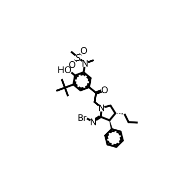 CCC[C@H]1CN(CC(=O)c2cc(N(C)S(C)(=O)=O)c(O)c(C(C)(C)C)c2)/C(=N\Br)[C@@H]1c1ccccc1